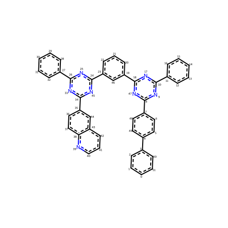 c1ccc(-c2ccc(-c3nc(-c4ccccc4)nc(-c4cccc(-c5nc(-c6ccccc6)nc(-c6ccc7ncccc7c6)n5)c4)n3)cc2)cc1